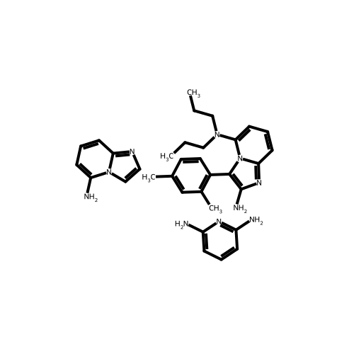 CCCN(CCC)c1cccc2nc(N)c(-c3ccc(C)cc3C)n12.Nc1cccc(N)n1.Nc1cccc2nccn12